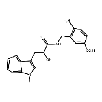 Cn1cc(CC(O)C(=O)NCc2cc(C(=O)O)ccc2N)c2ccccc21